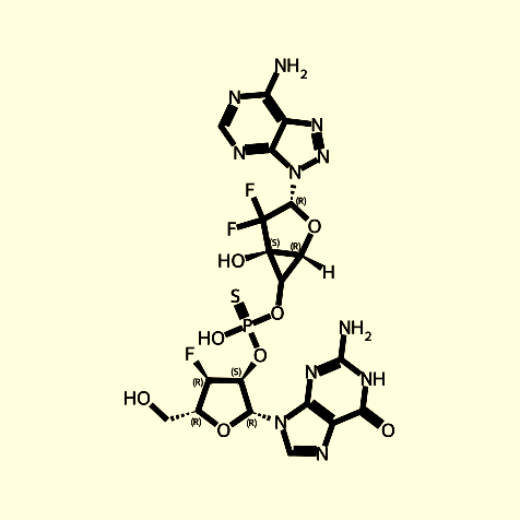 Nc1nc2c(ncn2[C@@H]2O[C@H](CO)[C@@H](F)[C@H]2OP(O)(=S)OC2[C@H]3O[C@@H](n4nnc5c(N)ncnc54)C(F)(F)[C@@]23O)c(=O)[nH]1